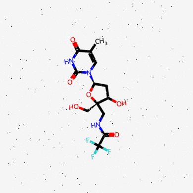 Cc1cn([C@H]2CC(O)[C@](CO)(CNC(=O)C(F)(F)F)O2)c(=O)[nH]c1=O